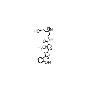 C#CCCC1(CCNC(=O)[C@@H]2CS[C@H]([C@@H]3CSC(c4ccccc4O)=N3)N2C)N=N1